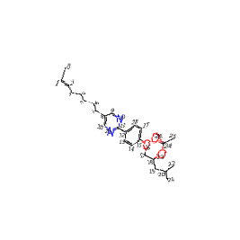 CCCCCCCCc1cnc(-c2ccc(OCC(CC(C)C)OC(C)=O)cc2)nc1